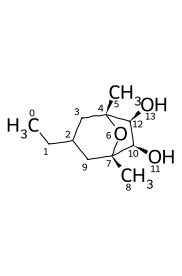 CCC1C[C@@]2(C)O[C@@](C)(C1)[C@H](O)[C@@H]2O